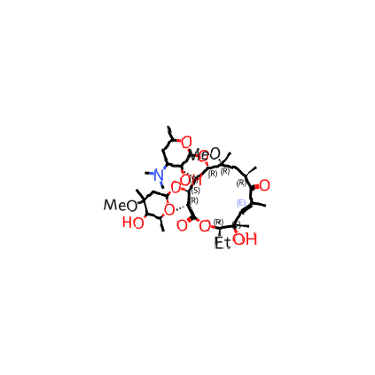 CC[C@H]1OC(=O)[C@H](C)[C@@H](OC2CC(C)(OC)C(O)C(C)O2)[C@H](C)[C@@H](OC2OC(C)CC(N(C)C)C2O)[C@](C)(OC)C[C@@H](C)C(=O)/C(C)=C/[C@]1(C)O